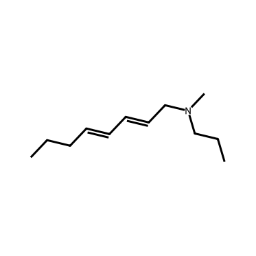 CCCC=CC=CCN(C)CCC